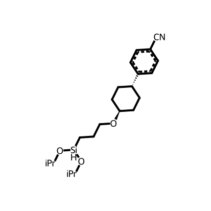 CC(C)O[SiH](CCCO[C@H]1CC[C@H](c2ccc(C#N)cc2)CC1)OC(C)C